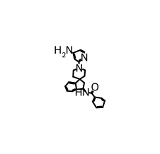 Nc1ccnc(N2CCC3(CC2)CC(NC(=O)c2ccccc2)c2ccccc23)c1